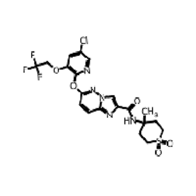 CC1(NC(=O)c2cn3nc(Oc4ncc(Cl)cc4OCC(F)(F)F)ccc3n2)CCS(=O)(=O)CC1